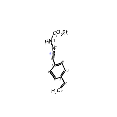 C=Cc1ccc(/C=N/NC(=O)OCC)cc1